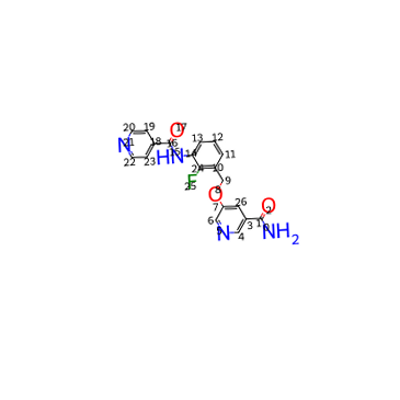 NC(=O)c1cncc(OCc2cccc(NC(=O)c3ccncc3)c2F)c1